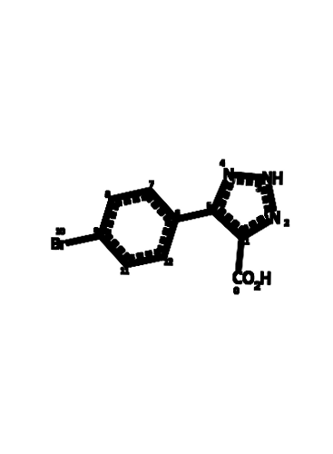 O=C(O)c1n[nH]nc1-c1ccc(Br)cc1